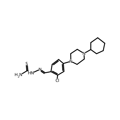 NC(=S)NN=Cc1ccc(N2CCN(C3CCCCC3)CC2)cc1Cl